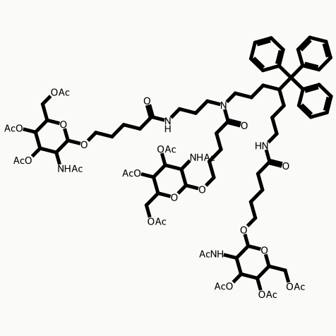 CC(=O)NC1C(OCCCCC(=O)NCCCC(CCCN(CCCNC(=O)CCCCOC2OC(COC(C)=O)C(OC(C)=O)C(OC(C)=O)C2NC(C)=O)C(=O)CCCCOC2OC(COC(C)=O)C(OC(C)=O)C(OC(C)=O)C2NC(C)=O)C(c2ccccc2)(c2ccccc2)c2ccccc2)OC(COC(C)=O)C(OC(C)=O)C1OC(C)=O